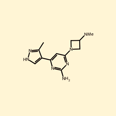 CNC1CN(c2cc(-c3c[nH]nc3C)nc(N)n2)C1